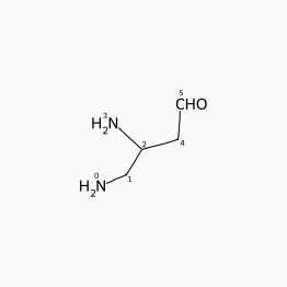 NCC(N)CC=O